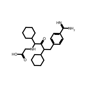 N=C(N)c1ccc(CC(C(=O)C(NCC(=O)O)C2CCCCC2)C2CCCCC2)cc1